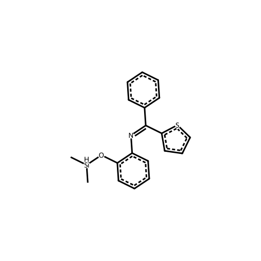 C[SiH](C)Oc1ccccc1N=C(c1ccccc1)c1cccs1